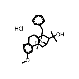 COc1ccc2c(c1)[C@@]1(C)CC3C(C(C)(C)O)CC1C(C2)N3Cc1ccccc1.Cl